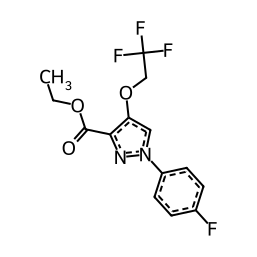 CCOC(=O)c1nn(-c2ccc(F)cc2)cc1OCC(F)(F)F